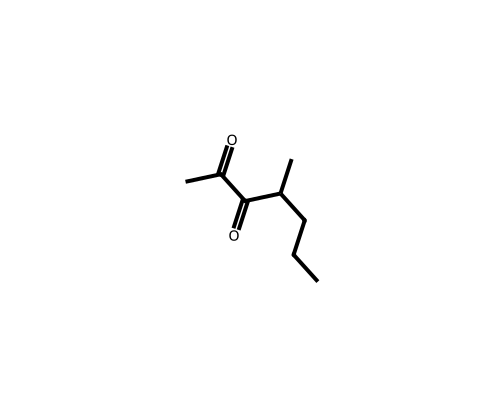 CCCC(C)C(=O)C(C)=O